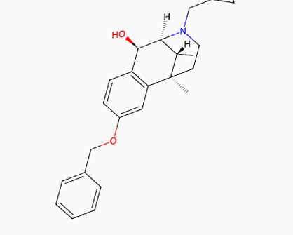 C[C@H]1[C@H]2[C@H](O)c3ccc(OCc4ccccc4)cc3[C@]1(C)CCN2CC1CC1